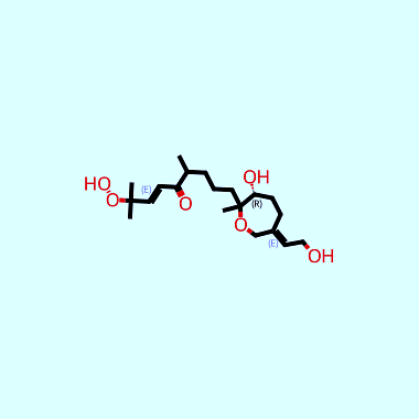 CC(CCCC1(C)OC/C(=C/CO)CC[C@H]1O)C(=O)/C=C/C(C)(C)OO